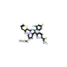 C=C1CC=CSC1C1=N[C@@H](c2ccc(F)cc2Cl)C(C(=N)/C=C\CC(C)F)=C2C[C@H](COC)CN12